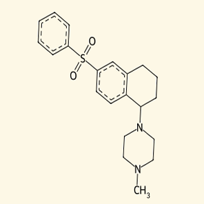 CN1CCN(C2CCCc3cc(S(=O)(=O)c4ccccc4)ccc32)CC1